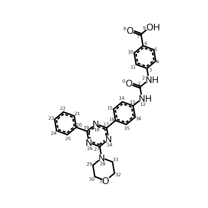 O=C(Nc1ccc(C(=O)O)cc1)Nc1ccc(-c2nc(-c3ccccc3)nc(N3CCOCC3)n2)cc1